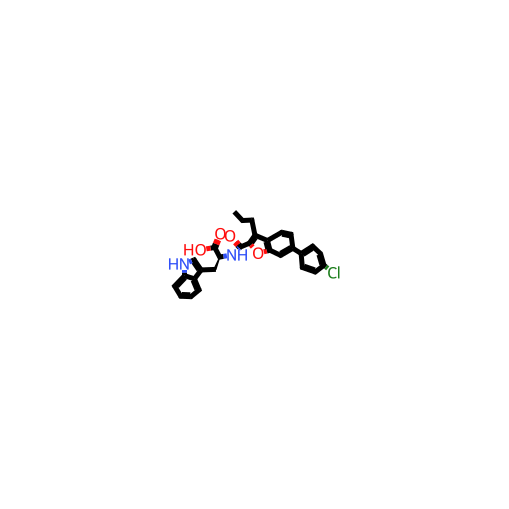 CCCc1c(C(=O)N[C@@H](Cc2c[nH]c3ccccc23)C(=O)O)oc2cc(-c3ccc(Cl)cc3)ccc12